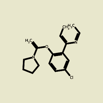 C=C(Oc1ccc(Cl)cc1C(=C/C)/N=C\C)N1CCCC1